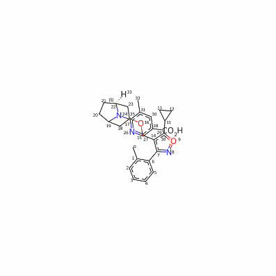 Cc1ccccc1-c1noc(C2CC2)c1COC1CC2CC[C@@H](C1)N2c1ncc(C(=O)O)cc1C